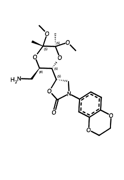 CO[C@@]1(C)O[C@H]([C@@H]2CN(c3ccc4c(c3)OCCO4)C(=O)O2)[C@@H](CN)O[C@]1(C)OC